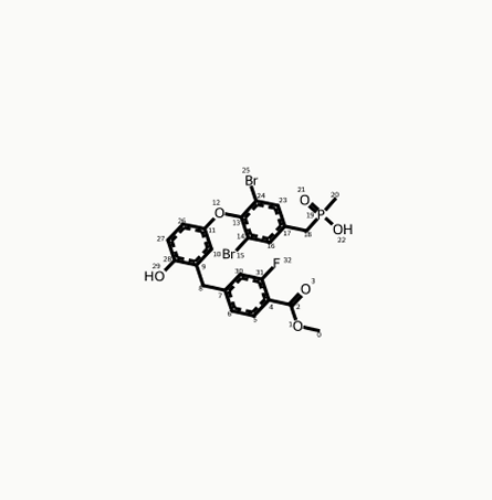 COC(=O)c1ccc(Cc2cc(Oc3c(Br)cc(CP(C)(=O)O)cc3Br)ccc2O)cc1F